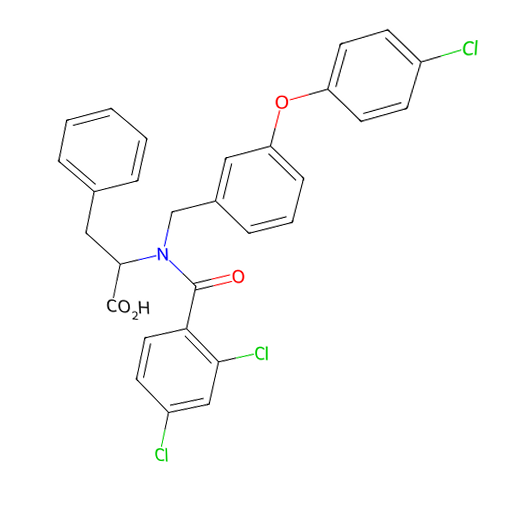 O=C(O)C(Cc1ccccc1)N(Cc1cccc(Oc2ccc(Cl)cc2)c1)C(=O)c1ccc(Cl)cc1Cl